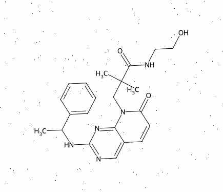 CC(Nc1ncc2ccc(=O)n(CC(C)(C)C(=O)NCCO)c2n1)c1ccccc1